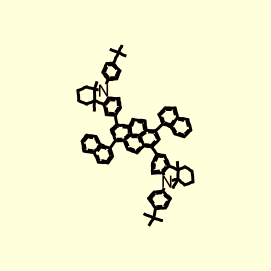 CC(C)(C)c1ccc(N2c3ccc(-c4cc(-c5cccc6ccccc56)c5ccc6c(-c7ccc8c(c7)C7(C)CCCCC7(C)N8c7ccc(C(C)(C)C)cc7)cc(-c7cccc8ccccc78)c7ccc4c5c67)cc3C3(C)CCCCC23C)cc1